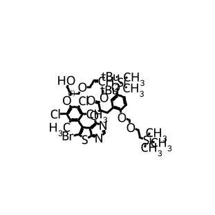 C=CCOC[C@H](CO)Oc1c(Cl)c(C)c(-c2c(Br)sc3ncnc(OC(Cc4cc(O[Si](C)(C)C(C)(C)C)ccc4OCOCC[Si](C)(C)C)C(=O)OC(C)(C)C)c23)c(C)c1Cl